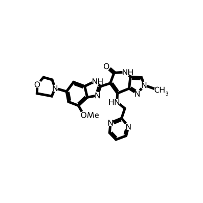 COc1cc(N2CCOCC2)cc2[nH]c(-c3c(NCc4ncccn4)c4nn(C)cc4[nH]c3=O)nc12